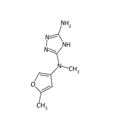 Cc1cc(N(C)c2nnc(N)[nH]2)co1